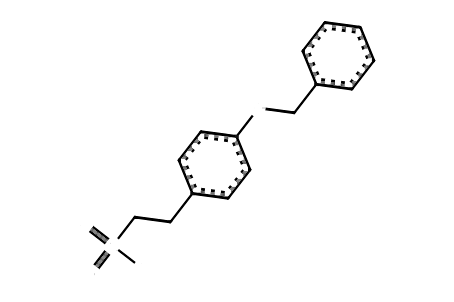 O=S(=O)(Cl)CCc1ccc(OCc2ccccc2)cc1